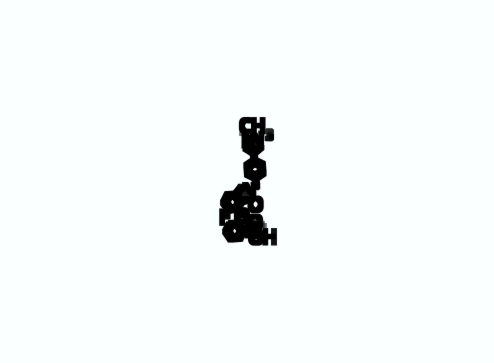 CCn1cc(-c2ccc(CN3Cc4cccc(Oc5c(F)cccc5[N+](=O)O)c4C3=O)cc2)cn1